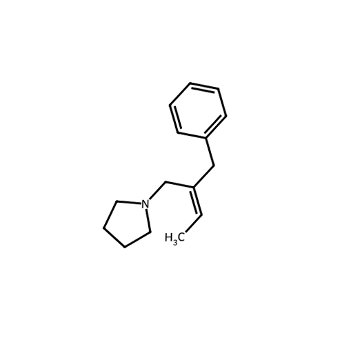 C/C=C(/Cc1ccccc1)CN1CCCC1